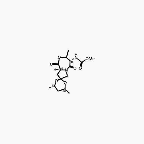 COC(=O)N[C@@H]1C(=O)N2CC3(C[C@H]2C(=O)OC1C)O[C@@H](C)C[C@H](C)O3